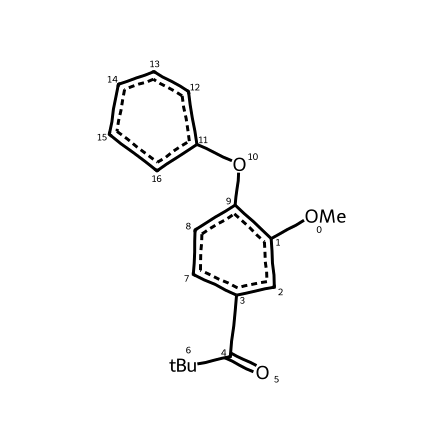 COc1cc(C(=O)C(C)(C)C)ccc1Oc1ccccc1